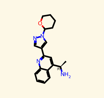 C[C@@H](N)c1cc(-c2cnn(C3CCCCO3)c2)nc2ccccc12